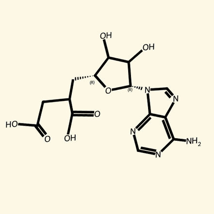 Nc1ncnc2c1ncn2[C@@H]1O[C@H](CC(CC(=O)O)C(=O)O)C(O)C1O